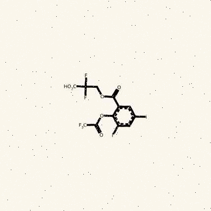 O=C(OCC(F)(F)C(=O)O)c1cc(I)cc(I)c1OC(=O)C(F)(F)F